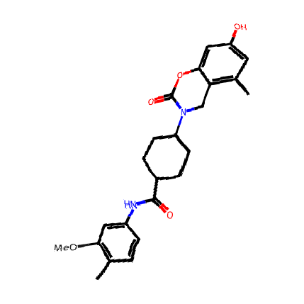 COc1cc(NC(=O)C2CCC(N3Cc4c(C)cc(O)cc4OC3=O)CC2)ccc1C